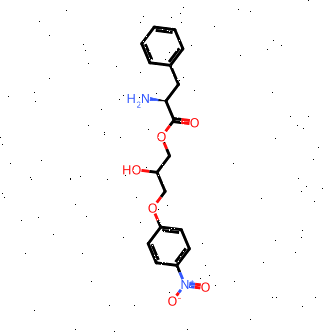 N[C@@H](Cc1ccccc1)C(=O)OCC(O)COc1ccc([N+](=O)[O-])cc1